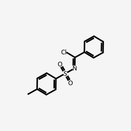 Cc1ccc(S(=O)(=O)N=C(Cl)c2ccccc2)cc1